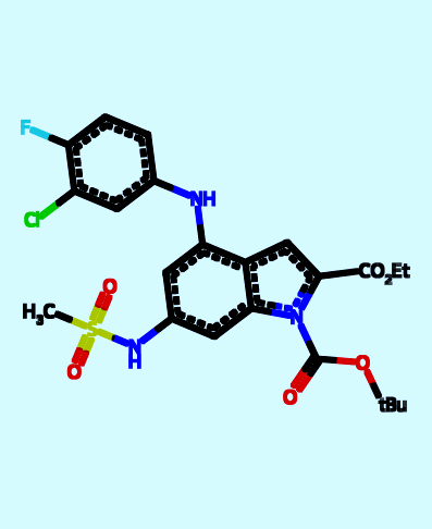 CCOC(=O)c1cc2c(Nc3ccc(F)c(Cl)c3)cc(NS(C)(=O)=O)cc2n1C(=O)OC(C)(C)C